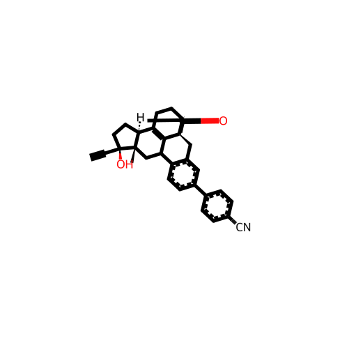 C#C[C@]1(O)CC[C@H]2C3=C4C(C[C@@]21C)c1ccc(-c2ccc(C#N)cc2)cc1C[C@@]41CCC(=O)C=C1CC3